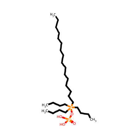 CCCCCCCCCCCCCCCCP(CCCC)(CCCC)(CCCC)OP(=O)(O)O